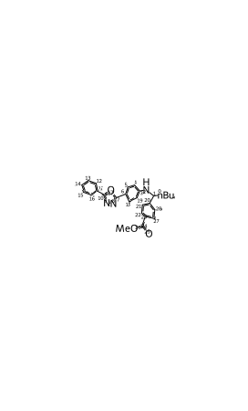 CCCCC(Nc1ccc(-c2nnc(-c3ccccc3)o2)cc1)c1ccc(C(=O)OC)cc1